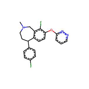 CN1CCC(c2ccc(F)cc2)c2ccc(Oc3cccnn3)c(F)c2C1